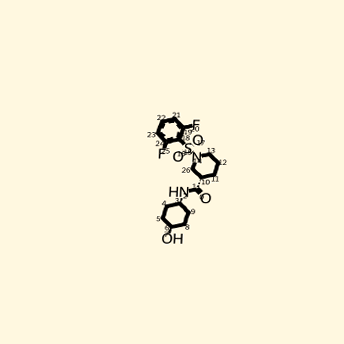 O=C(N[C@H]1CC[C@H](O)CC1)[C@H]1CCCN(S(=O)(=O)c2c(F)cccc2F)C1